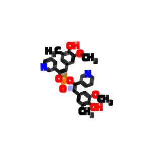 COc1cc(/C=C(/O[PH](=O)O/C(=C/c2cc(C)c(O)c(OC)c2)c2cccnc2)c2cccnc2)cc(C)c1O